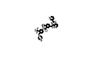 CN1CCN(Cc2ccc(NC(=O)c3cc(Cc4nc(-c5cccnc5)nc5cc[nH]c45)ccc3Cl)cc2C(F)(F)F)CC1